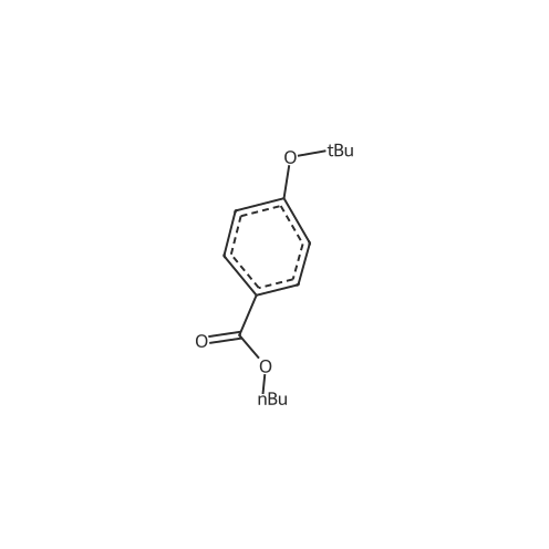 CCCCOC(=O)c1ccc(OC(C)(C)C)cc1